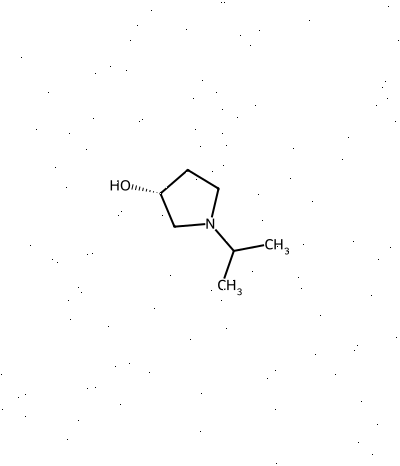 CC(C)N1CC[C@@H](O)C1